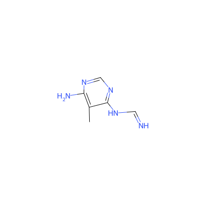 Cc1c(N)ncnc1NC=N